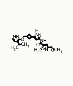 COCc1cc(C(=O)Nc2cc(C3CC(COc4nnccc4C(C)C)C3)[nH]n2)n(C)n1